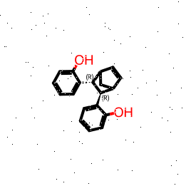 Oc1ccccc1[C@@H]1C2C=CC(C2)[C@H]1c1ccccc1O